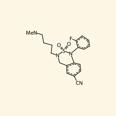 CNCCCCN1Cc2cc(C#N)ccc2N(c2ccccc2F)S1(=O)=O